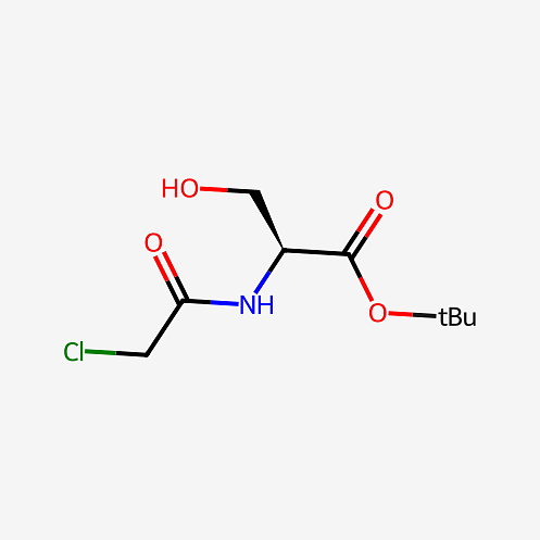 CC(C)(C)OC(=O)[C@H](CO)NC(=O)CCl